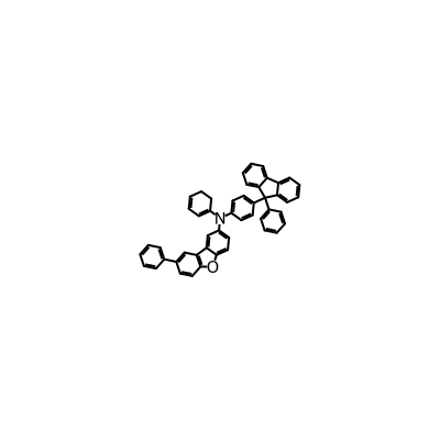 C1=CCCC(N(c2ccc(C3(c4ccccc4)c4ccccc4-c4ccccc43)cc2)c2ccc3oc4ccc(-c5ccccc5)cc4c3c2)=C1